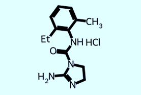 CCc1cccc(C)c1NC(=O)N1CCN=C1N.Cl